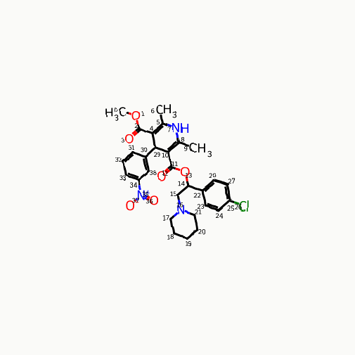 COC(=O)C1=C(C)NC(C)=C(C(=O)OC(CN2CCCCC2)c2ccc(Cl)cc2)C1c1cccc([N+](=O)[O-])c1